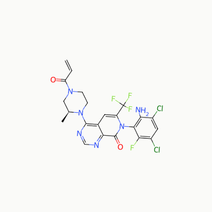 C=CC(=O)N1CCN(c2ncnc3c(=O)n(-c4c(N)c(Cl)cc(Cl)c4F)c(C(F)(F)F)cc23)[C@@H](C)C1